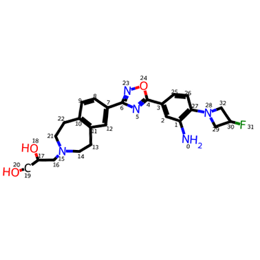 Nc1cc(-c2nc(-c3ccc4c(c3)CCN(CC(O)CO)CC4)no2)ccc1N1CC(F)C1